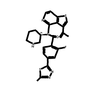 C=C(C)c1csc2ccnc(N(C(=O)c3ccc(-c4nnc(C)s4)cc3F)[C@@H]3CCCNC3)c12